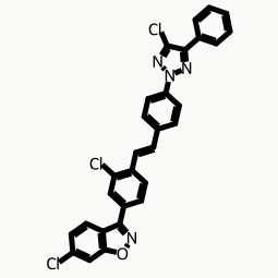 Clc1ccc2c(-c3ccc(C=Cc4ccc(-n5nc(Cl)c(-c6ccccc6)n5)cc4)c(Cl)c3)noc2c1